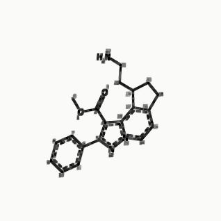 COC(=O)c1c(-c2ccccc2)nn2ccc3c(c12)C(CCN)CC3